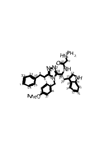 COc1ccc(Cn2c(CCc3ccccc3)nnc2[C@@H](Cc2c[nH]c3ccccc23)NC(=O)CNP)cc1